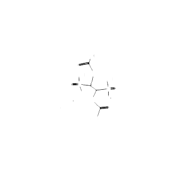 O.O.O=C(O)OC(C(OC(=O)O)P(=O)(O)O)P(=O)(O)O